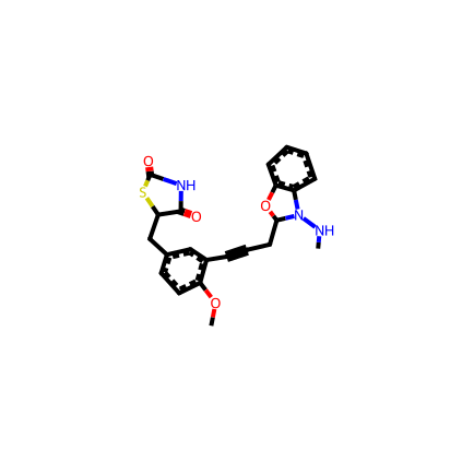 CNN1c2ccccc2OC1CC#Cc1cc(CC2SC(=O)NC2=O)ccc1OC